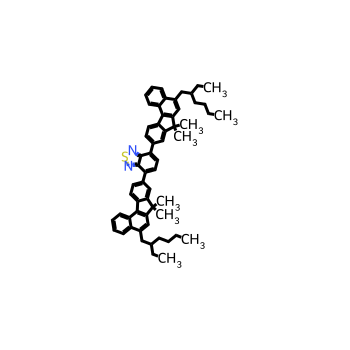 CCCCC(CC)Cc1cc2c(c3ccccc13)-c1ccc(-c3ccc(-c4ccc5c(c4)C(C)(C)c4cc(CC(CC)CCCC)c6ccccc6c4-5)c4nsnc34)cc1C2(C)C